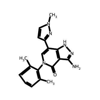 Cc1cccc(C)c1-n1cc(-c2ccn(C)n2)c2[nH]nc(N)c2c1=O